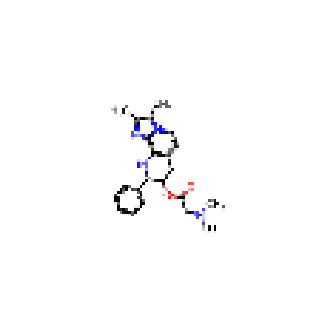 Cc1nc2c3c(ccn2c1C)CC(OC(=O)CN(C)C)C(c1ccccc1)N3